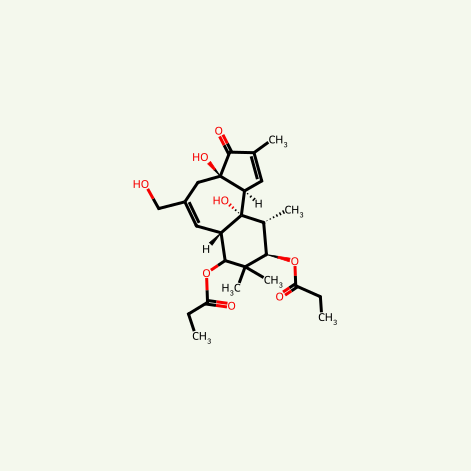 CCC(=O)OC1[C@@H]2C=C(CO)C[C@]3(O)C(=O)C(C)=C[C@H]3[C@@]2(O)[C@H](C)[C@@H](OC(=O)CC)C1(C)C